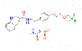 CNC(=S)N=S(=O)=O.O=C(NCCc1ccc(OCCOCC(F)(F)F)cc1)c1cnc2ccccc2c1